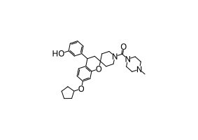 CN1CCN(C(=O)N2CCC3(CC2)CC(c2cccc(O)c2)c2ccc(OC4CCCC4)cc2O3)CC1